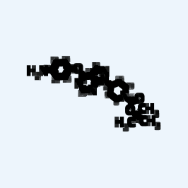 CC(C)(C)OC(=O)N1CCC(n2ncc3c(Oc4ccc(N)cc4)ncnc32)CC1